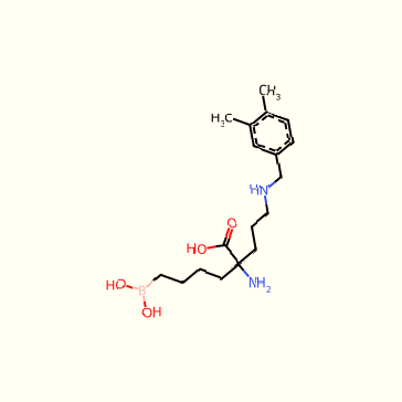 Cc1ccc(CNCCCC(N)(CCCCB(O)O)C(=O)O)cc1C